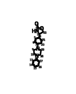 O=C1NC(c2ccc(N3CCN(c4ccccc4)CC3)cc2)CO1